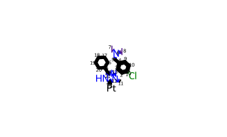 Clc1ccc(CN(I)I)cc1.Cn1nc(C2CCCCC2)[nH][c]1=[Pt]